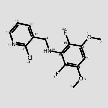 COc1cc(OC)c(F)c(NCc2cccnc2Cl)c1F